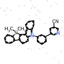 C[Si]1(C)c2ccccc2-c2ccc3c(c21)c1ccccc1n3-c1cccc(-c2cncc(C#N)c2)c1